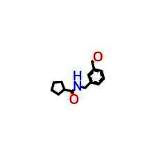 O=Cc1cccc(CNC(=O)C2CCCC2)c1